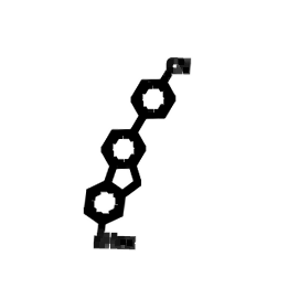 CCCCCCc1ccc2c(c1)Cc1cc(-c3ccc(C#N)cc3)ccc1-2